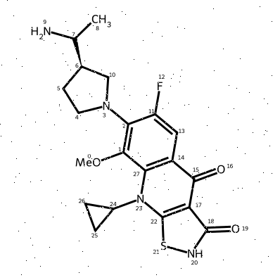 COc1c(N2CC[C@@H](C(C)N)C2)c(F)cc2c(=O)c3c(=O)[nH]sc3n(C3CC3)c12